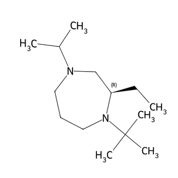 CC[C@@H]1CN(C(C)C)CCCN1C(C)(C)C